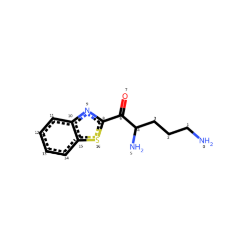 NCCCC(N)C(=O)c1nc2ccccc2s1